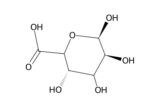 O=C(O)C1O[C@@H](O)[C@@H](O)C(O)[C@@H]1O